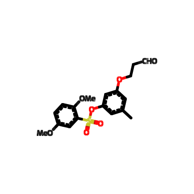 COc1ccc(OC)c(S(=O)(=O)Oc2cc(C)cc(OCCC=O)c2)c1